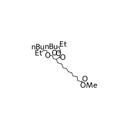 CCCCC(CC)COC(=O)CC(CCCCCCCCCC(=O)OC)C(=O)OCC(CC)CCCC